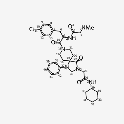 CNCC(=O)N[C@H](Cc1ccc(Cl)cc1)C(=O)N1CCC2(CC1)C(=O)N(CC(=O)NC1CCCCC1)CN2c1ccccc1